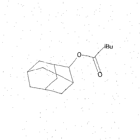 CCC(C)C(=O)OC1C2CC3CC(C2)CC1C3